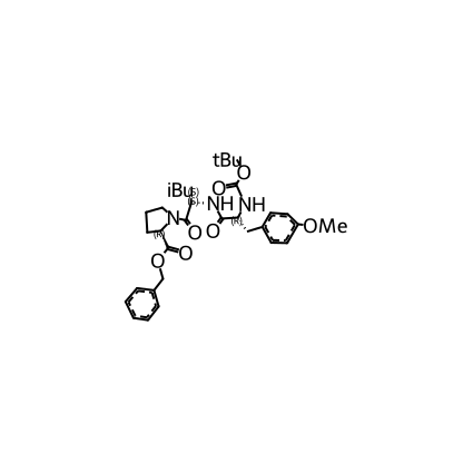 CC[C@H](C)[C@H](NC(=O)[C@@H](Cc1ccc(OC)cc1)NC(=O)OC(C)(C)C)C(=O)N1CCC[C@@H]1C(=O)OCc1ccccc1